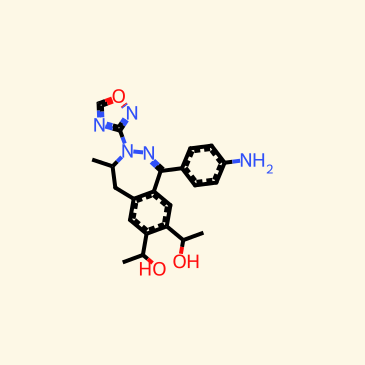 CC(O)c1cc2c(cc1C(C)O)C(c1ccc(N)cc1)=NN(c1ncon1)C(C)C2